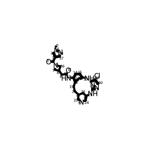 Cn1cc(C(=O)N2CC(CC(=O)Nc3ccc4cc3CCC3C=NC=C(C3)Nc3ncc(Cl)c(n3)N4)C2)cn1